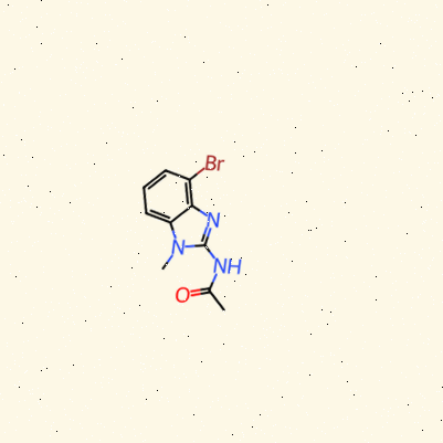 CC(=O)Nc1nc2c(Br)cccc2n1C